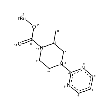 CC1CN(c2ncccn2)CCN1C(=O)OC(C)(C)C